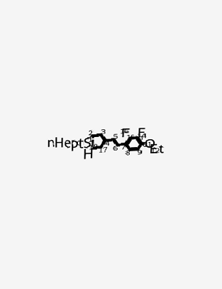 CCCCCCC[SiH]1CCC(CCc2ccc(OCC)c(F)c2F)CC1